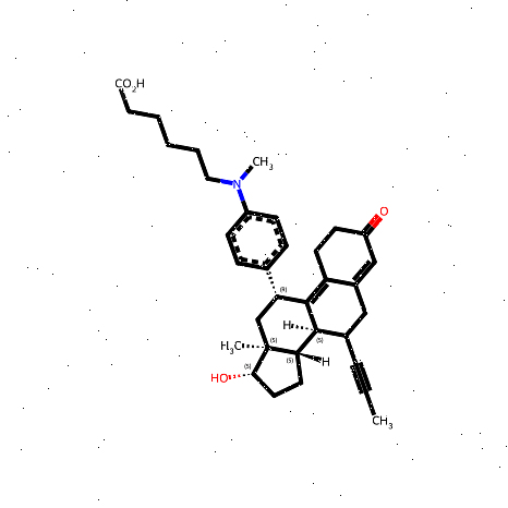 CC#CC1CC2=CC(=O)CCC2=C2[C@@H](c3ccc(N(C)CCCCCC(=O)O)cc3)C[C@]3(C)[C@@H](O)CC[C@H]3[C@@H]21